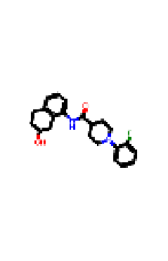 O=C(Nc1cccc2c1CC(O)CC2)C1CCN(c2ccccc2F)CC1